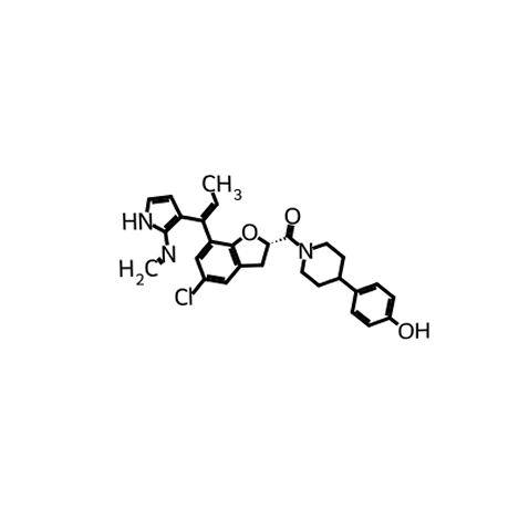 C=Nc1[nH]ccc1/C(=C\C)c1cc(Cl)cc2c1O[C@H](C(=O)N1CCC(c3ccc(O)cc3)CC1)C2